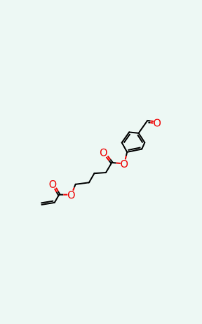 C=CC(=O)OCCCCC(=O)Oc1ccc(C=O)cc1